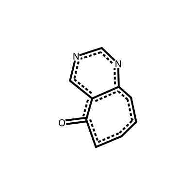 O=c1ccccc2ncncc12